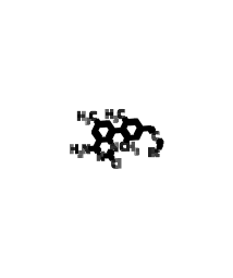 CCC=C=Cc1cc(C)c(-c2cc(C)cc3c(N)nc(Cl)nc23)c(C)c1